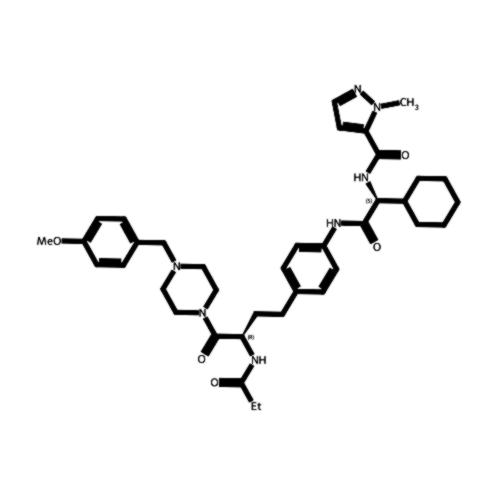 CCC(=O)N[C@H](CCc1ccc(NC(=O)[C@@H](NC(=O)c2ccnn2C)C2CCCCC2)cc1)C(=O)N1CCN(Cc2ccc(OC)cc2)CC1